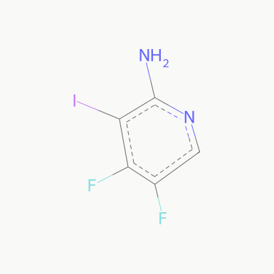 Nc1ncc(F)c(F)c1I